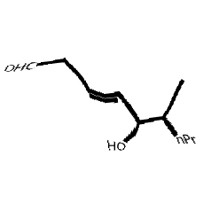 CCCC(C)C(O)C=CCC=O